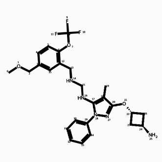 COCc1ccc(OC(F)(F)F)c(CNCNc2c(C)c(O[C@H]3C[C@H](N)C3)nn2-c2ccccc2)c1